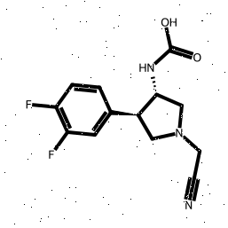 N#CCN1C[C@@H](NC(=O)O)[C@H](c2ccc(F)c(F)c2)C1